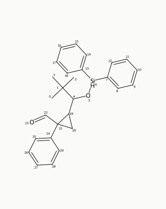 CC(C)(C)C(O[SiH](c1ccccc1)c1ccccc1)C1CC1(C=O)c1ccccc1